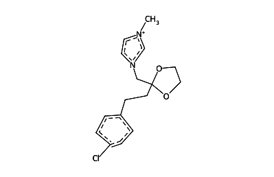 C[n+]1ccn(CC2(CCc3ccc(Cl)cc3)OCCO2)c1